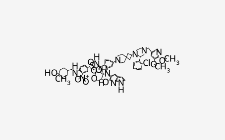 COc1cc(CN2CCN(C3CC4(CCN(c5ccc(C(=O)NS(=O)(=O)c6ccc(NCC7CCC(C)(O)CC7)c([N+](=O)[O-])c6)c(N6c7cc8cc[nH]c8nc7O[C@H]7COCC[C@@H]76)c5)CC4)C3)[C@H](c3ccccc3Cl)C2)cnc1OC